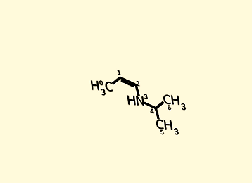 C/C=C\NC(C)C